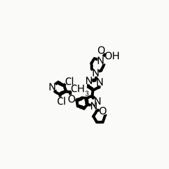 CC(Oc1ccc2c(c1)c(-c1cnc(N3CCCN(C(=O)O)CC3)nc1)nn2C1CCCCO1)c1c(Cl)cncc1Cl